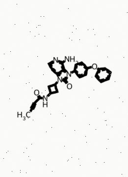 CC#CC(=O)NC1CC(n2c(=O)n(-c3ccc(Oc4ccccc4)cc3)c3c(N)nccc32)C1